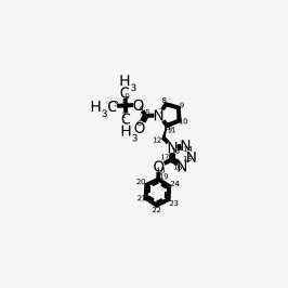 CC(C)(C)OC(=O)N1CCC[C@H]1Cn1nnnc1Oc1ccccc1